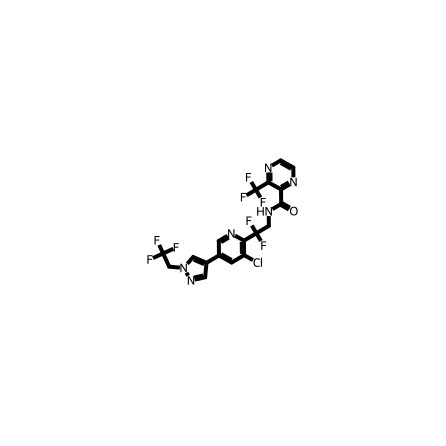 O=C(NCC(F)(F)c1ncc(-c2cnn(CC(F)(F)F)c2)cc1Cl)c1nccnc1C(F)(F)F